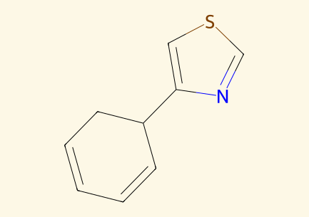 C1=CCC(c2cscn2)C=C1